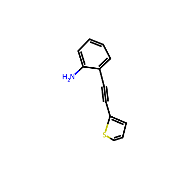 Nc1ccccc1C#Cc1cccs1